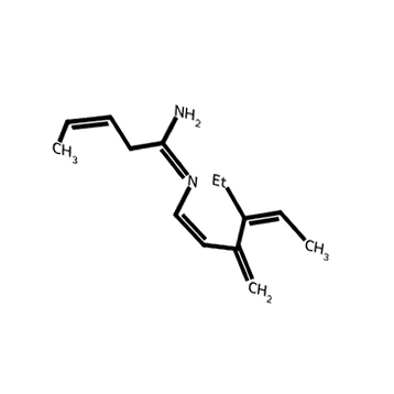 C=C(/C=C\N=C(\N)C/C=C\C)/C(=C\C)CC